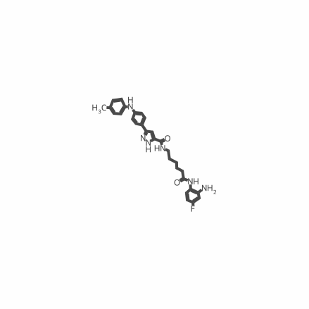 Cc1ccc(Nc2ccc(-c3cc(C(=O)NCCCCCC(=O)Nc4ccc(F)cc4N)[nH]n3)cc2)cc1